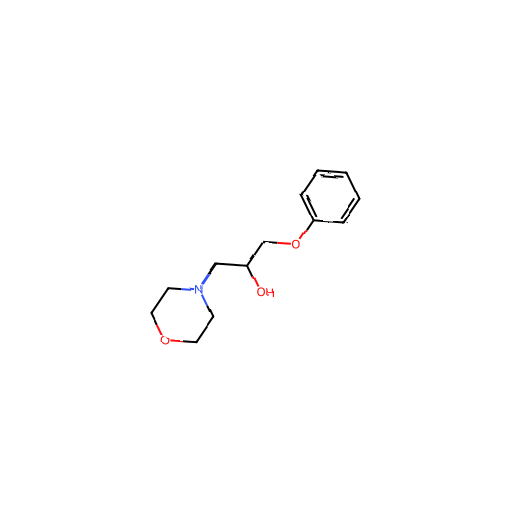 OC(COc1[c]cccc1)CN1CCOCC1